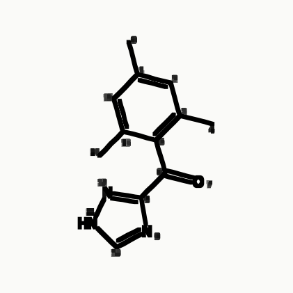 Cc1cc(C)c(C(=O)c2nc[nH]n2)c(C)c1